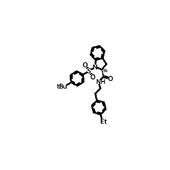 CCc1ccc(CCNC(=O)[C@@H]2Cc3ccccc3N2S(=O)(=O)c2ccc(C(C)(C)C)cc2)cc1